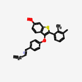 Cc1cccc(-c2sc3cc(O)ccc3c2Oc2ccc(/C=C/C(=O)O)cc2)c1C(F)(F)F